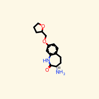 N[C@H]1CCc2ccc(OCC3CCCO3)cc2NC1=O